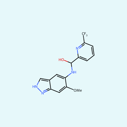 COc1cc2n[nH]cc2cc1NC(O)c1cccc(C(F)(F)F)n1